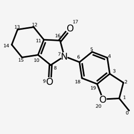 CC1Cc2ccc(N3C(=O)C4=C(CCCC4)C3=O)cc2O1